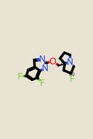 Fc1cc(F)c2nc(OC[C@@]34CCCN3C[C@H](F)C4)ncc2c1